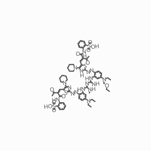 CCOCN(CC)c1ccc(/N=N/C2NC(N3CCCCC3)=C(/C=C(\C(C)=O)C(=O)Nc3ccccc3S(=O)(=O)O)S2)c(NC(=N)/N=C(\NC)Nc2cc(N(CC)CC)ccc2/N=N/c2nc(N3CCCCC3)c(/C=C(/C(C)=O)C(=O)Nc3ccccc3S(=O)(=O)O)s2)c1